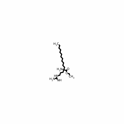 CCCCCCCCCCCC[C@](N)(CCCNC(=N)N)C(=O)OCC